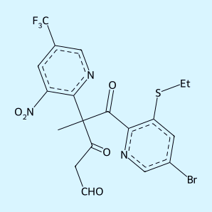 CCSc1cc(Br)cnc1C(=O)C(C)(C(=O)CC=O)c1ncc(C(F)(F)F)cc1[N+](=O)[O-]